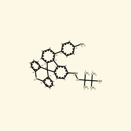 CC(C)(O)C(C)(C)OBc1ccc2c(c1)-c1c(-c3ccc(N)cc3)cccc1C21c2ccccc2Sc2ccccc21